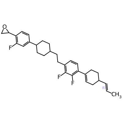 C/C=C/C1CC=C(c2ccc(CCC3CCC(c4ccc(C5CO5)c(F)c4)CC3)c(F)c2F)CC1